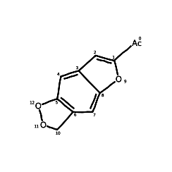 CC(=O)c1cc2cc3c(cc2o1)COO3